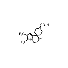 CN1CCn2c(cc(C(F)(F)F)c2C(F)(F)F)C12CCN(C(=O)O)CC2